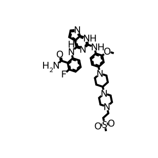 COc1cc(N2CCC(N3CCN(CCS(C)(=O)=O)CC3)CC2)ccc1Nc1nc(Nc2cccc(F)c2C(N)=O)c2ccnc-2[nH]1